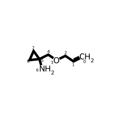 C=CCOCC1(N)CC1